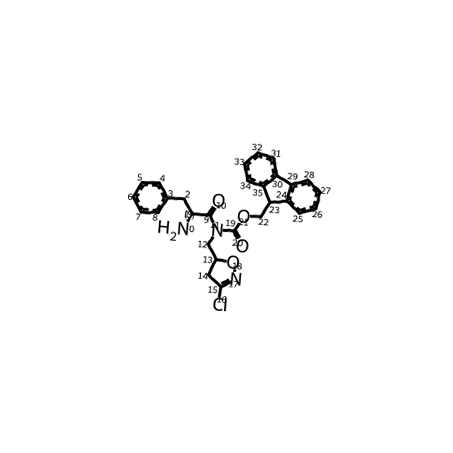 N[C@@H](Cc1ccccc1)C(=O)N(CC1CC(Cl)=NO1)C(=O)OCC1c2ccccc2-c2ccccc21